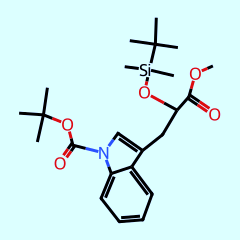 COC(=O)C(Cc1cn(C(=O)OC(C)(C)C)c2ccccc12)O[Si](C)(C)C(C)(C)C